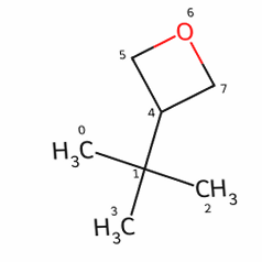 CC(C)(C)C1COC1